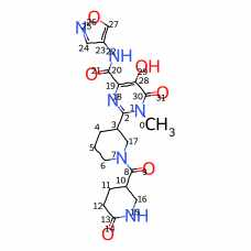 Cn1c(C2CCCN(C(=O)C3CCC(=O)NC3)C2)nc(C(=O)Nc2cnoc2)c(O)c1=O